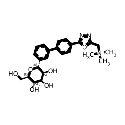 C[N+](C)(C)Cc1nnc(-c2ccc(-c3cccc([C@H]4O[C@H](CO)[C@@H](O)[C@H](O)[C@@H]4O)c3)cc2)o1